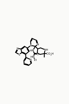 CCNC(=O)NC1(C2CCC(C)(C(=O)O)NC2)N=CC=CN1c1cc(-c2ccccn2)c2scnc2c1